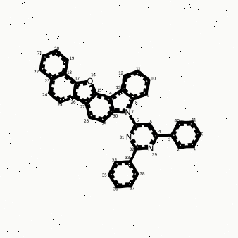 c1ccc(-c2cc(-n3c4ccccc4c4c5oc6c7ccccc7ccc6c5ccc43)nc(-c3ccccc3)n2)cc1